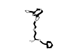 C[C@@H](CCOCCOc1cncc(Cl)n1)OCc1ccccc1